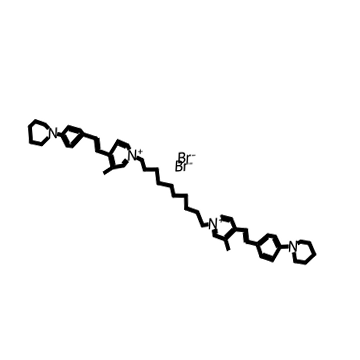 Cc1c[n+](CCCCCCCCCC[n+]2ccc(/C=C/c3ccc(N4CCCCC4)cc3)c(C)c2)ccc1/C=C/c1ccc(N2CCCCC2)cc1.[Br-].[Br-]